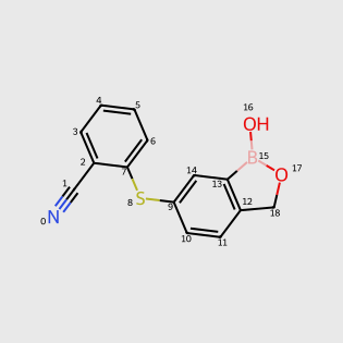 N#Cc1ccccc1Sc1ccc2c(c1)B(O)OC2